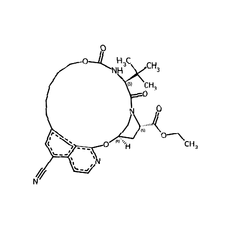 CCOC(=O)[C@@H]1C[C@@H]2CN1C(=O)[C@H](C(C)(C)C)NC(=O)OCCCCCc1cc(C#N)c3ccnc(c3c1)O2